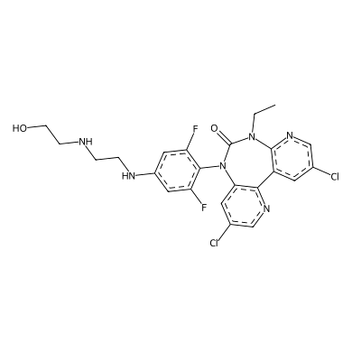 CCN1C(=O)N(c2c(F)cc(NCCNCCO)cc2F)c2cc(Cl)cnc2-c2cc(Cl)cnc21